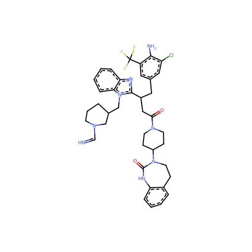 N=CN1CCCC(Cn2c(C(CC(=O)N3CCC(N4CCc5ccccc5NC4=O)CC3)Cc3cc(Cl)c(N)c(C(F)(F)F)c3)nc3ccccc32)C1